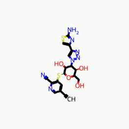 C#Cc1cnc(C#N)c(S[C@H]2OC(CO)[C@H](O)C(n3cc(-c4csc(N)n4)nn3)C2O)c1